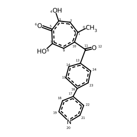 Cc1cc(O)c(=O)c(O)cc1C(=O)c1ccc(-c2ccncc2)cc1